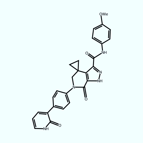 COc1ccc(NC(=O)c2n[nH]c3c2C2(CC2)CN(c2ccc(-c4ccc[nH]c4=O)cc2)C3=O)cc1